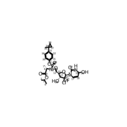 CC(C)OC(=O)[C@H](C)NP(=O)(OC[C@H]1O[C@@H](N2C=CC(O)NC2=O)[C@@](F)(Cl)[C@@H]1O)Oc1ccc(C2(C)CC2)cc1